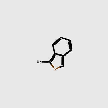 [Na][c]1scc2ccccc12